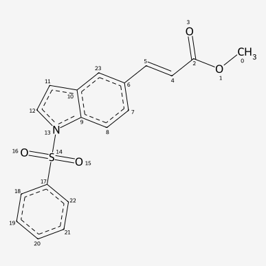 COC(=O)C=Cc1ccc2c(ccn2S(=O)(=O)c2ccccc2)c1